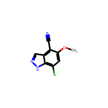 COc1cc(Br)c2[nH]ncc2c1C#N